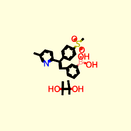 CC(C)(O)C(C)(C)O.Cc1ccc(C(=Cc2cccc(B(O)O)c2)c2ccc(S(C)(=O)=O)cc2)nc1